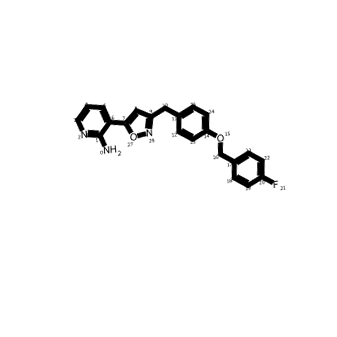 Nc1ncccc1-c1cc(Cc2ccc(OCc3ccc(F)cc3)cc2)no1